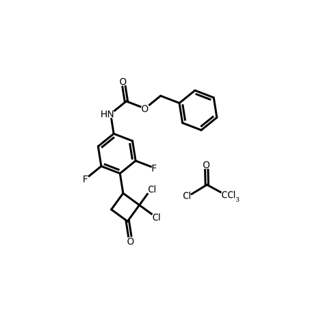 O=C(Cl)C(Cl)(Cl)Cl.O=C(Nc1cc(F)c(C2CC(=O)C2(Cl)Cl)c(F)c1)OCc1ccccc1